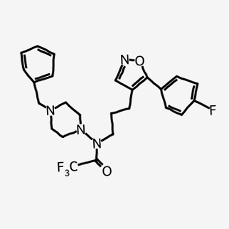 O=C(N(CCCc1cnoc1-c1ccc(F)cc1)N1CCN(Cc2ccccc2)CC1)C(F)(F)F